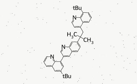 CC(C)(C)c1cc(-c2cnc3cc(C(C)(C)Cc4ccnc5c(C(C)(C)C)cccc45)ccc3c2)c2ncccc2c1